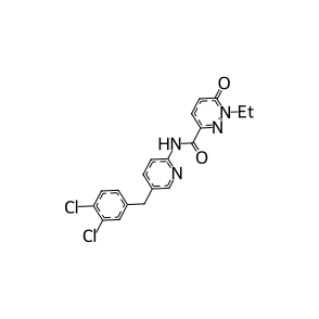 CCn1nc(C(=O)Nc2ccc(Cc3ccc(Cl)c(Cl)c3)cn2)ccc1=O